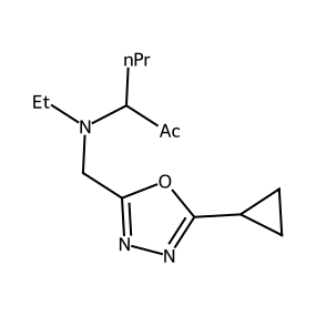 CCCC(C(C)=O)N(CC)Cc1nnc(C2CC2)o1